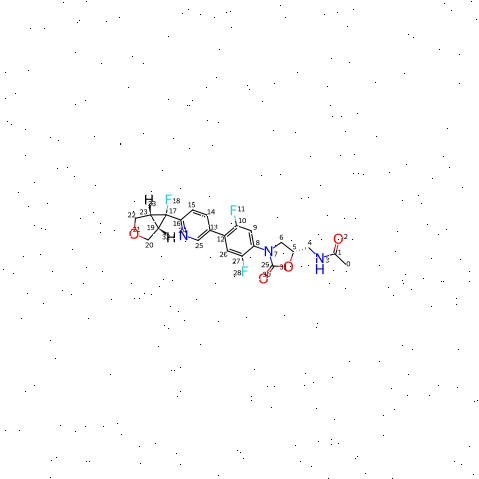 CC(=O)NC[C@H]1CN(c2cc(F)c(-c3ccc(C4(F)[C@@H]5COC[C@@H]54)nc3)cc2F)C(=O)O1